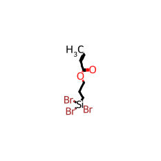 CC=CC(=O)OCCC[Si](Br)(Br)Br